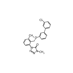 Cc1cccc(-n2nnn(C)c2=O)c1COc1cccc(-c2cccc(Cl)c2)c1